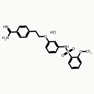 Cl.N=C(N)c1ccc(CCOc2cccc(NS(=O)(=O)c3ccccc3OC(F)(F)F)c2)cc1